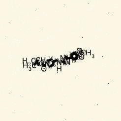 CC(C)(C)COC(=O)N1CCC(CNc2cnc(-c3ccc(S(C)(=O)=O)cc3)cn2)CC1